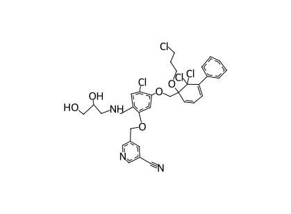 N#Cc1cncc(COc2cc(OCC3(OCCCCl)C=CC=C(c4ccccc4)C3(Cl)Cl)c(Cl)cc2CNCC(O)CO)c1